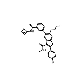 C=C(NC)C1=C(c2ccc(F)cc2)Cc2cc(CCCF)c(-c3cccc(C(=C)NC45CC(C4)C5)c3)cc21